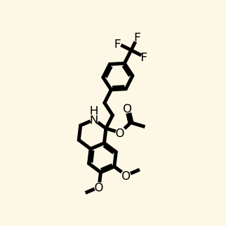 COc1cc2c(cc1OC)C(CCc1ccc(C(F)(F)F)cc1)(OC(C)=O)NCC2